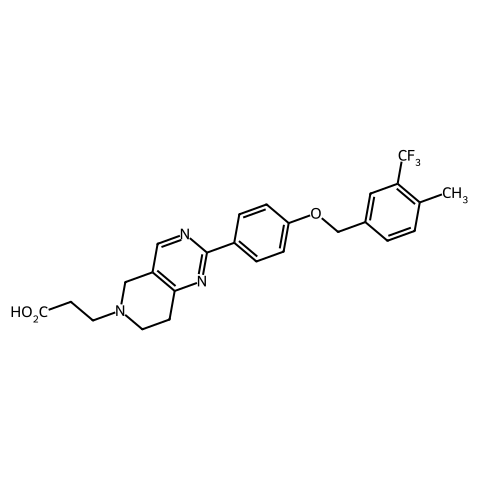 Cc1ccc(COc2ccc(-c3ncc4c(n3)CCN(CCC(=O)O)C4)cc2)cc1C(F)(F)F